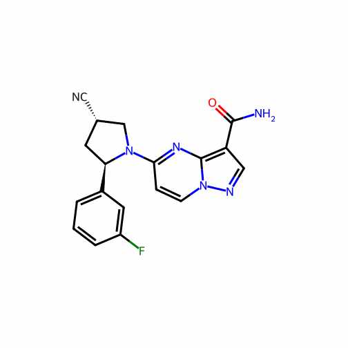 N#C[C@H]1C[C@H](c2cccc(F)c2)N(c2ccn3ncc(C(N)=O)c3n2)C1